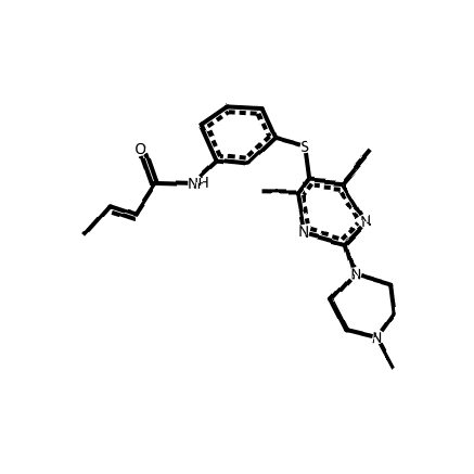 CC=CC(=O)Nc1cccc(Sc2c(C)nc(N3CCN(C)CC3)nc2C)c1